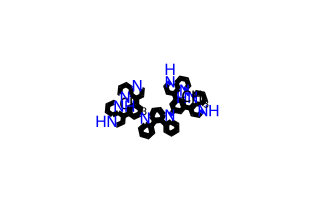 CN1CCCC2=NCCC(c3cc(C4CCNC5CCCNC54)cc(-n4c5ccccc5c5c6c7ccccc7n(-c7cc(C8=C9NCCCC9NCC8)cc(C8CCNC9CCCN(C)C98)c7)c6ccc54)c3)C21